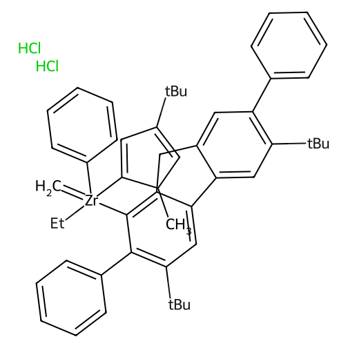 Cl.Cl.[CH2]=[Zr]([CH2]C)([C]1=CC(C(C)(C)C)=CC1C)([c]1ccccc1)[c]1c2c(cc(C(C)(C)C)c1-c1ccccc1)-c1cc(C(C)(C)C)c(-c3ccccc3)cc1C2